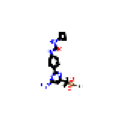 CC(C)(C)S(=O)(=O)C(C)(C)c1cc(N)nc(-c2ccc(NC(=O)NC3CCC3)cc2)n1